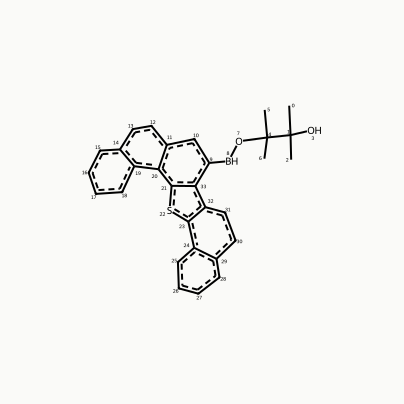 CC(C)(O)C(C)(C)OBc1cc2ccc3ccccc3c2c2sc3c4ccccc4ccc3c12